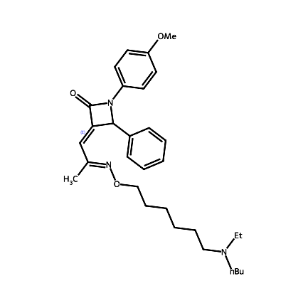 CCCCN(CC)CCCCCCON=C(C)/C=C1/C(=O)N(c2ccc(OC)cc2)C1c1ccccc1